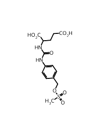 CS(=O)(=O)OCc1ccc(NC(=O)NC(CCC(=O)O)C(=O)O)cc1